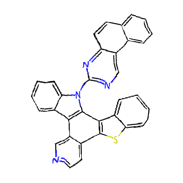 c1ccc2c(c1)ccc1nc(-n3c4ccccc4c4c5cnccc5c5sc6ccccc6c5c43)ncc12